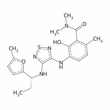 CC[C@@H](Nc1nsnc1Nc1ccc(C)c(C(=O)N(C)C)c1O)c1ccc(C)o1